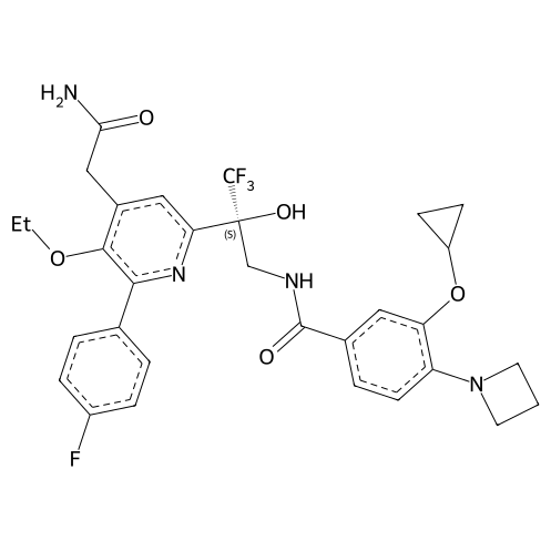 CCOc1c(CC(N)=O)cc([C@@](O)(CNC(=O)c2ccc(N3CCC3)c(OC3CC3)c2)C(F)(F)F)nc1-c1ccc(F)cc1